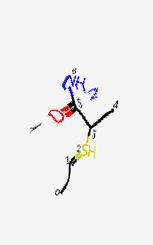 CC=[SH]C(C)C(N)=O